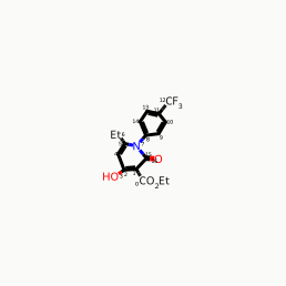 CCOC(=O)c1c(O)cc(CC)n(-c2ccc(C(F)(F)F)cc2)c1=O